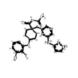 O=C(OC(=O)C1(Cc2cncc(Nc3cc[nH]n3)n2)CCC(Oc2cccc(Cl)c2F)CC1)C(F)(F)F